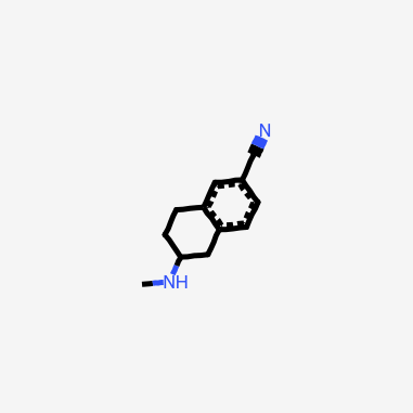 CNC1CCc2cc(C#N)ccc2C1